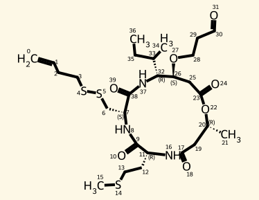 C=CCCSSC[C@H]1NC(=O)[C@@H](CCSC)NC(=O)C[C@@H](C)OC(=O)C[C@H](OCCC=O)[C@@H](C(C)CC)NC1=O